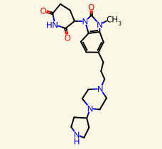 Cn1c(=O)n(C2CCC(=O)NC2=O)c2ccc(CCCN3CCN(C4CCNCC4)CC3)cc21